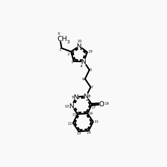 CCc1cn(CCCn2nnc3ccccc3c2=O)cn1